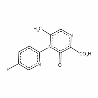 Cc1cnc(C(=O)O)c(=O)n1-c1ccc(F)cn1